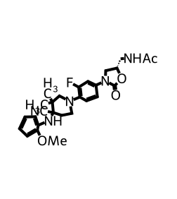 COc1ccccc1NC1(C#N)CCN(c2ccc(N3C[C@H](CNC(C)=O)OC3=O)cc2F)CC1(C)C